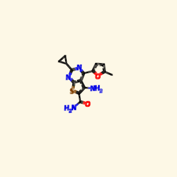 Cc1ccc(-c2nc(C3CC3)nc3sc(C(N)=O)c(N)c23)o1